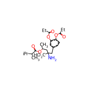 CCC(=O)Oc1ccc(CC(N)(C[C@H](C)OC(=O)C(C)C(C)C)C(=O)O)cc1OC(=O)CC